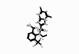 CCN(c1c(C(=O)O)cccc1C(F)(F)F)S(=O)(=O)c1nc2nc(C)cc(C)n2n1